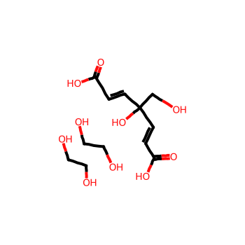 O=C(O)C=CC(O)(C=CC(=O)O)CO.OCCO.OCCO